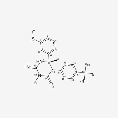 CSc1cccc([C@@]2(C)NC(=N)N(C)C(=O)[C@H]2c2ccc(C(C)(F)F)cc2)c1